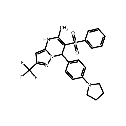 CC1=C(S(=O)(=O)c2ccccc2)C(c2ccc(N3CCCC3)cc2)n2nc(C(F)(F)F)cc2N1